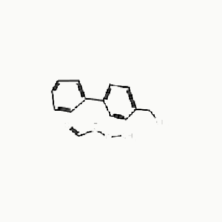 CCc1ccc(-c2ccccc2)cc1.CONC=O